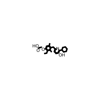 CCc1c(OCC(=O)O)cc(C)c(Cc2ccc(O)c(C3CCCCC3)n2)c1C